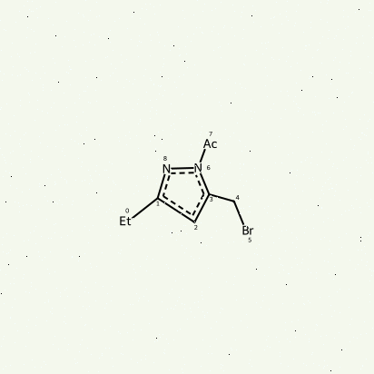 CCc1cc(CBr)n(C(C)=O)n1